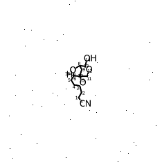 N#CCCC1CC[C@@H]2OC3CC2(COC3O)O1